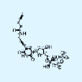 C#CCCC(=O)NCC#Cc1cn([C@H]2C[C@@H](O)[C@@H](COP(=O)(O)OP(=O)(O)OP(=O)(O)O)O2)c(=O)[nH]c1=O